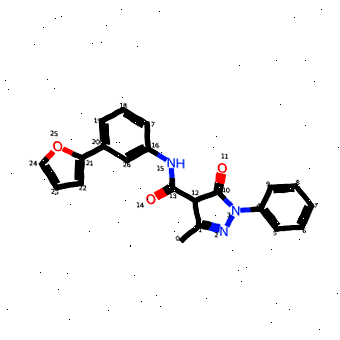 CC1=NN(c2ccccc2)C(=O)C1C(=O)Nc1cccc(-c2ccco2)c1